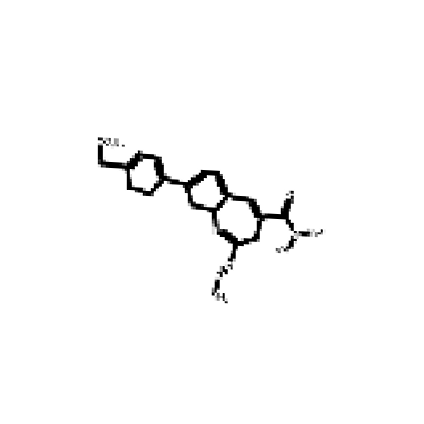 CCCN(CCC)C(=O)C1=CC2=CC=C(C3=CC=C(CC(=O)OCC)CC3)CC2N=C(N=NN)C1